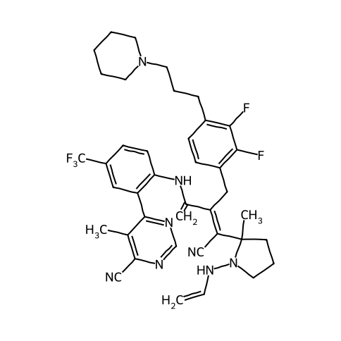 C=CNN1CCCC1(C)/C(C#N)=C(\Cc1ccc(CCCN2CCCCC2)c(F)c1F)C(=C)Nc1ccc(C(F)(F)F)cc1-c1ncnc(C#N)c1C